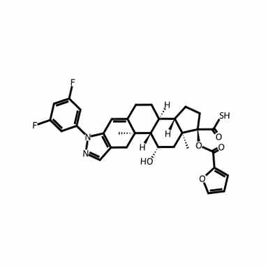 C[C@]12Cc3cnn(-c4cc(F)cc(F)c4)c3C=C1CC[C@@H]1[C@@H]2[C@@H](O)C[C@@]2(C)[C@H]1CC[C@]2(OC(=O)c1ccco1)C(=O)S